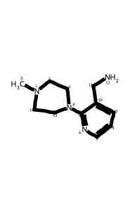 CN1CCN(c2ncccc2CN)CC1